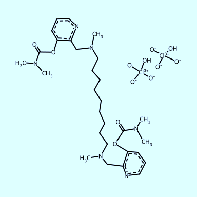 CN(CCCCCCCCCN(C)Cc1ncccc1OC(=O)N(C)C)Cc1ncccc1OC(=O)N(C)C.[O-][Cl+3]([O-])([O-])O.[O-][Cl+3]([O-])([O-])O